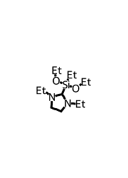 CCO[Si](CC)(OCC)C1N(CC)CCN1CC